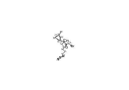 CC(CCCCCN=[N+]=[N-])(C(=O)CBr)c1cccc(I)c1